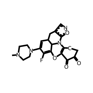 CN1CCN(C2=CC3Cc4cnoc4N4C5=C(OC(=C2F)C34)C(=O)C(=O)CC5)CC1